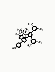 CC1=Cc2c(-c3cc(C)cc(C)c3)cc(-c3cc(C)cc(C)c3)cc2[CH]1[Zr]([Cl])([Cl])([CH]1C(C(C)C)=Cc2c(-c3ccc(C(C)(C)C)cc3)cccc21)[SiH](C)C